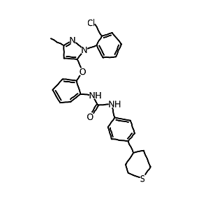 Cc1cc(Oc2ccccc2NC(=O)Nc2ccc(C3CCSCC3)cc2)n(-c2ccccc2Cl)n1